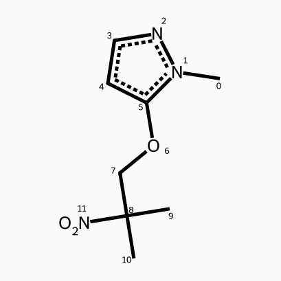 Cn1nccc1OCC(C)(C)[N+](=O)[O-]